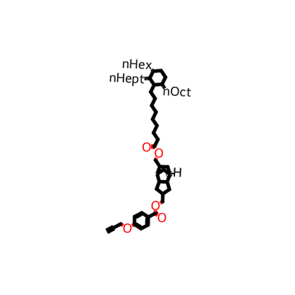 C#CCOc1ccc(C(=O)OCC2CC3C4C[C@@H](CC4COC(=O)CCCCCCCCC4C(CCCCCCCC)CCC(CCCCCC)C4CCCCCCC)C3C2)cc1